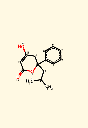 CC(C)CC1(c2ccccc2)CC(O)=CC(=O)O1